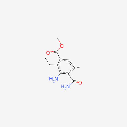 CCc1c(C(=O)OC)cc(C)c(C(N)=O)c1N